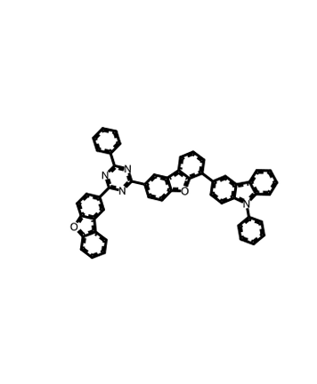 c1ccc(-c2nc(-c3ccc4oc5ccccc5c4c3)nc(-c3ccc4oc5c(-c6ccc7c(c6)c6ccccc6n7-c6ccccc6)cccc5c4c3)n2)cc1